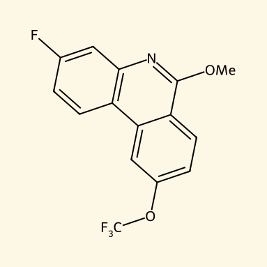 COc1nc2cc(F)ccc2c2cc(OC(F)(F)F)ccc12